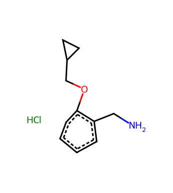 Cl.NCc1ccccc1OCC1CC1